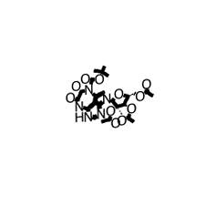 CC(=O)OC[C@H]1O[C@@H](n2cc3c4c(ncnc42)NC(=O)C(=O)N3C(=O)OC(C)(C)C)[C@](C)(OC(C)=O)[C@@H]1OC(C)=O